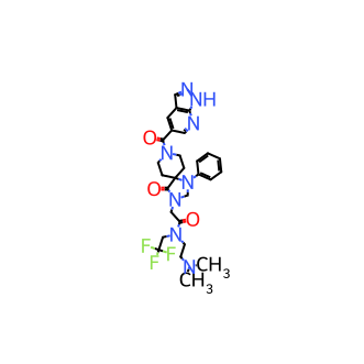 CN(C)CCN(CC(F)(F)F)C(=O)CN1CN(c2ccccc2)C2(CCN(C(=O)c3cnc4[nH]ncc4c3)CC2)C1=O